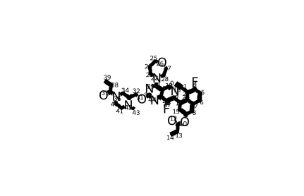 C#Cc1c(F)ccc2cc(OC(=O)C=C)cc(-c3ncc4c(N5CCCOCC5)nc(OCC5CN(C(=O)C=C)CCN5C)nc4c3F)c12